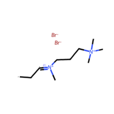 [Br-].[Br-].[CH2]C/[C]=[N+](\C)CCC[N+](C)(C)C